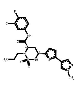 CCCN1[C@@H](C(=O)Nc2ccc(F)c(Cl)c2)C[C@@H](c2ccc(-c3cnn(C)c3)s2)NS1(=O)=O